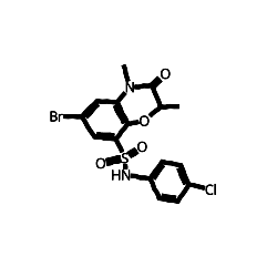 CC1Oc2c(cc(Br)cc2S(=O)(=O)Nc2ccc(Cl)cc2)N(C)C1=O